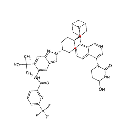 CC(C)(O)c1cc2nn([C@H]3CC[C@H](CN4C5CC4CN(c4cccc6c(N7CCC(O)NC7=O)cncc46)C5)CC3)cc2cc1NC(=O)c1cccc(C(F)(F)F)n1